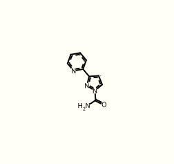 NC(=O)n1c[c]c(-c2ccccn2)n1